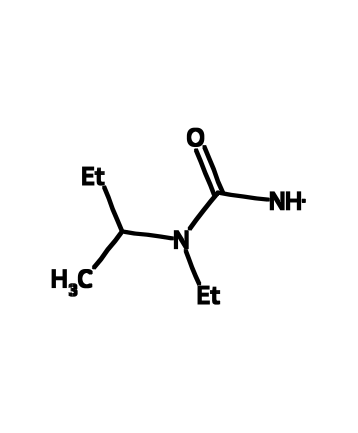 CCC(C)N(CC)C([NH])=O